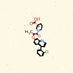 C[C@@H](Oc1ccc2c(-c3ccccc3Cl)ccnc2c1)C(=O)N1CCC[C@@H](C(=O)O)C1